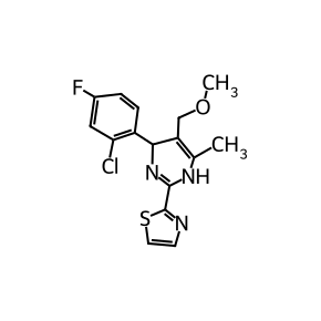 COCC1=C(C)NC(c2nccs2)=NC1c1ccc(F)cc1Cl